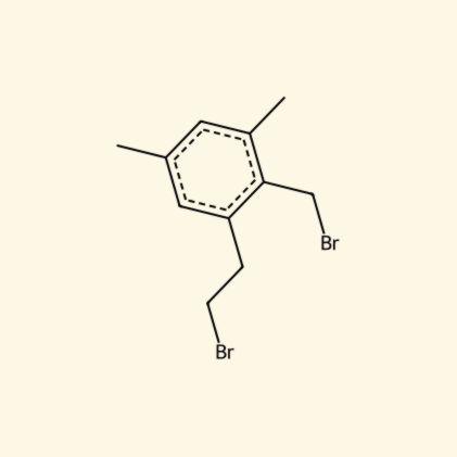 Cc1cc(C)c(CBr)c(CCBr)c1